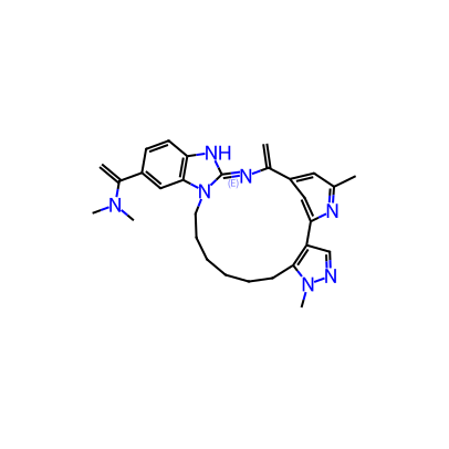 C=C1/N=C2\Nc3ccc(C(=C)N(C)C)cc3N2CCCCCCc2c(cnn2C)-c2cc1cc(C)n2